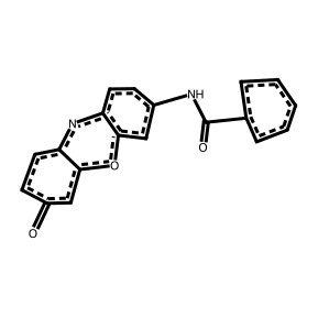 O=C(Nc1ccc2nc3ccc(=O)cc-3oc2c1)c1ccccc1